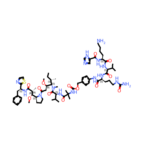 CC[C@H](C)[C@@H]([C@@H](CC(=O)N1CCC[C@H]1[C@H](OC)[C@@H](C)C(=O)N[C@@H](Cc1ccccc1)c1nccs1)OC)N(C)C(=O)[C@@H](NC(=O)C(C)(C)NC(=O)OCc1ccc(NC(=O)[C@H](CCCNC(N)=O)NC(=O)[C@@H](NC(=O)[C@H](CCCCN)NC(=O)c2cnc[nH]2)C(C)C)cc1)C(C)C